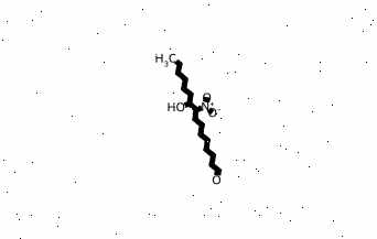 CCCCCCC(O)C(CCCCCCCC=O)[N+](=O)[O-]